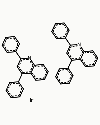 [Ir].c1ccc(-c2cc(-c3ccccc3)c3ccccc3n2)cc1.c1ccc(-c2cc(-c3ccccc3)c3ccccc3n2)cc1